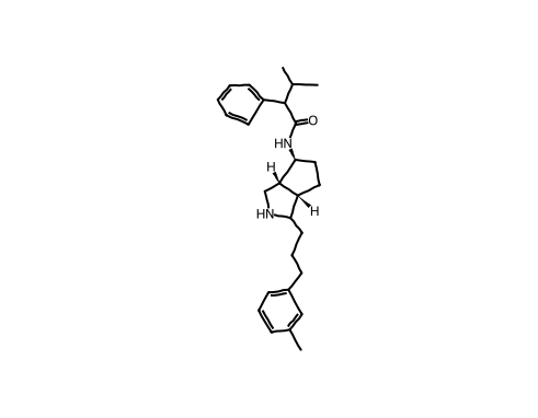 Cc1cccc(CCCC2NC[C@@H]3[C@@H](NC(=O)C(c4ccccc4)C(C)C)CC[C@H]23)c1